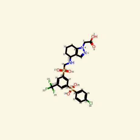 O=C(O)Cn1ncc2c1CCCC2NCS(=O)(=O)c1cc(C(F)(F)F)cc(S(=O)(=O)c2ccc(Cl)cc2)c1